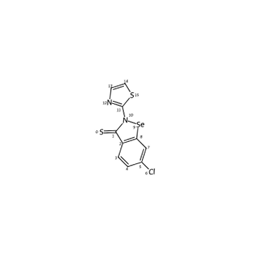 S=c1c2ccc(Cl)cc2[se]n1-c1nccs1